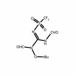 CC(C)(C)ON(C=O)C(=NS(=O)(=O)C(F)(F)F)NC=O